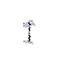 C=C(C(C)C)N(C)CCCCCCCCCC(C)C